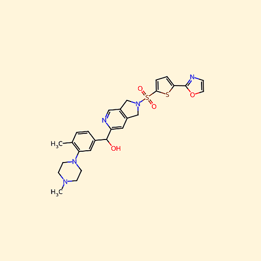 Cc1ccc(C(O)c2cc3c(cn2)CN(S(=O)(=O)c2ccc(-c4ncco4)s2)C3)cc1N1CCN(C)CC1